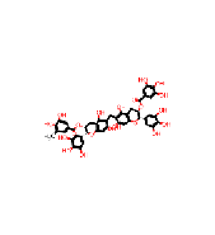 Cc1cc(C(=O)O[C@@H]2Cc3c(cc(O)c(Cc4c(O)cc5c(c4O)C[C@@H](OC(=O)c4cc(O)c(O)c(O)c4)[C@@H](c4cc(O)c(O)c(O)c4)O5)c3O)O[C@@H]2c2cc(O)c(O)c(O)c2)cc(O)c1O